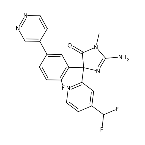 CN1C(=O)C(c2cc(C(F)F)ccn2)(c2cc(-c3ccnnc3)ccc2F)N=C1N